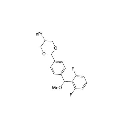 CCCC1COC(c2ccc(C(OC)c3c(F)cccc3F)cc2)OC1